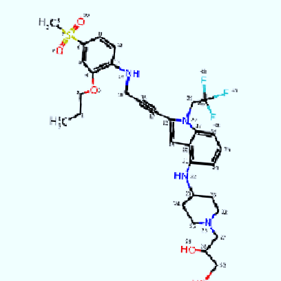 CCCOc1cc(S(C)(=O)=O)ccc1NCC#Cc1cc2c(NC3CCN(CC(O)CO)CC3)cccc2n1CC(F)(F)F